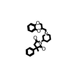 CC1(c2ccccc2)CC(=O)N(C2CCCN(CC3COc4ccccc4O3)C2)C1=O